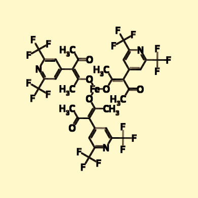 CC(=O)/C(=C(/C)[O][Fe]([O]/C(C)=C(\C(C)=O)c1cc(C(F)(F)F)nc(C(F)(F)F)c1)[O]/C(C)=C(\C(C)=O)c1cc(C(F)(F)F)nc(C(F)(F)F)c1)c1cc(C(F)(F)F)nc(C(F)(F)F)c1